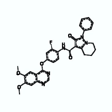 COc1cc2ncnc(Oc3ccc(NC(=O)c4c5n(n(-c6ccccc6)c4=O)CCCC5)c(F)c3)c2cc1OC